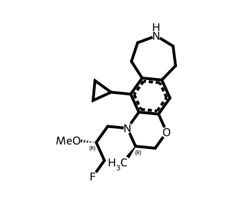 CO[C@@H](CF)CN1c2c(cc3c(c2C2CC2)CCNCC3)OC[C@H]1C